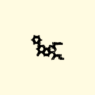 CC(C)(C)NC(=O)Oc1ccc2c(=O)cc(-c3ccccc3)oc2c1OC(=O)NC(C)(C)C